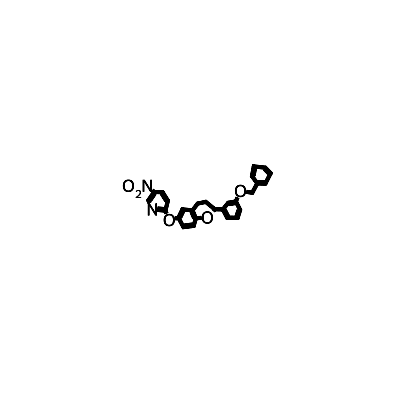 O=[N+]([O-])c1ccc(Oc2ccc3c(c2)CCC(c2cccc(OCc4ccccc4)c2)O3)nc1